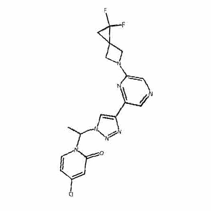 CC(n1cc(-c2cncc(N3CC4(C3)CC4(F)F)n2)nn1)n1ccc(Cl)cc1=O